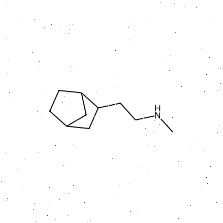 CNCCC1CC2CCC1C2